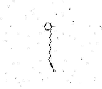 CCC#CCCCCCCCC[n+]1ccccc1C